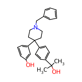 CC(C)(O)c1ccc(C2(c3cccc(O)c3)CCN(Cc3ccccc3)CC2)cc1